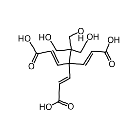 O=C(O)C=CC(C=CC(=O)O)(C=CC(=O)O)C(CO)(CO)CO